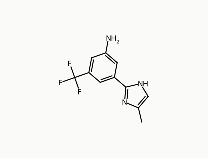 Cc1c[nH]c(-c2cc(N)cc(C(F)(F)F)c2)n1